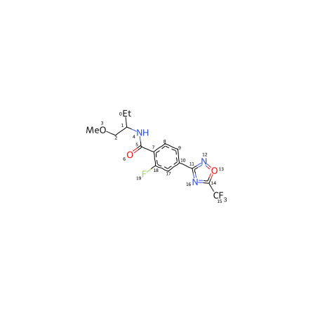 CCC(COC)NC(=O)c1ccc(-c2noc(C(F)(F)F)n2)cc1F